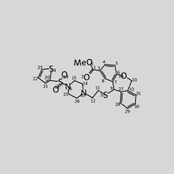 COC(=O)c1ccc2c(c1)C(SCCN1CCN(S(=O)(=O)c3cccs3)CC1)c1ccccc1CO2